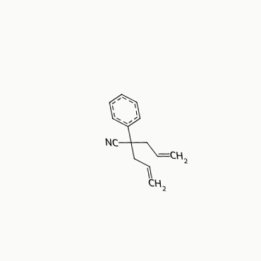 C=CCC(C#N)(CC=C)c1ccccc1